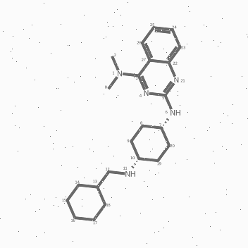 CN(C)c1nc(N[C@H]2CC[C@@H](NCC3CCCCC3)CC2)nc2ccccc12